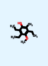 CCc1c(O)c(C)c(CC)c(OC)c1CC